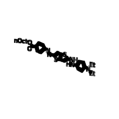 CCCCCCCCOC(=O)c1ccc(/N=N/c2cc3sc(NNc4ccc(N(CC)CC)cc4)cc3s2)cc1